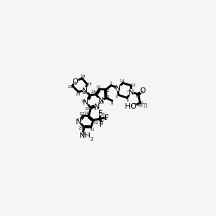 Cc1c(CN2CCN(C(=O)[C@H](C)O)CC2)cc2c(N3CCOCC3)nc(-c3cnc(N)cc3C(F)(F)F)nn12